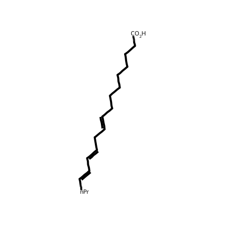 CCC/C=C/C=C/C/C=C/CCCCCCCC(=O)O